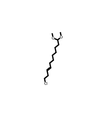 COC(CCCCCC/C=C/CCCl)OC